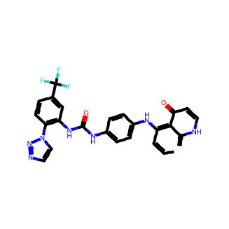 C=c1[nH]ccc(=O)/c1=C(/C=C\C)Nc1ccc(NC(=O)Nc2cc(C(F)(F)F)ccc2-n2ccnn2)cc1